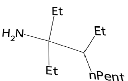 CCCCCC(CC)C(N)(CC)CC